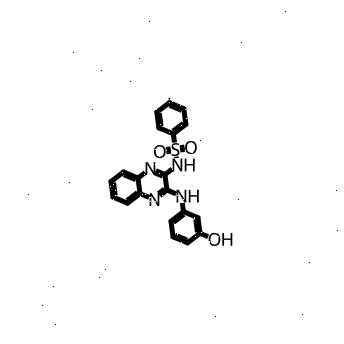 O=S(=O)(Nc1nc2ccccc2nc1Nc1cccc(O)c1)c1cc[c]cc1